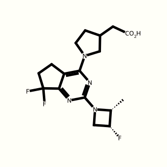 C[C@@H]1[C@H](F)CN1c1nc(N2CCC(CC(=O)O)C2)c2c(n1)C(F)(F)CC2